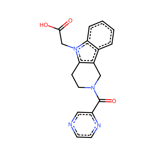 O=C(O)Cn1c2c(c3ccccc31)CN(C(=O)c1cnccn1)CC2